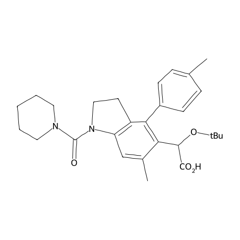 Cc1ccc(-c2c3c(cc(C)c2C(OC(C)(C)C)C(=O)O)N(C(=O)N2CCCCC2)CC3)cc1